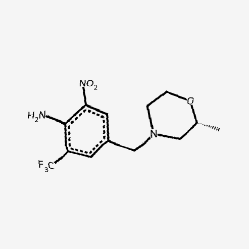 C[C@@H]1CN(Cc2cc([N+](=O)[O-])c(N)c(C(F)(F)F)c2)CCO1